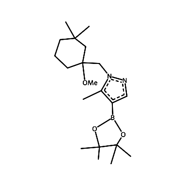 COC1(Cn2ncc(B3OC(C)(C)C(C)(C)O3)c2C)CCCC(C)(C)C1